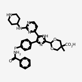 CC1(C(=O)O)COC(c2nc(-c3ccc(F)cc3)c(-c3ccnc(NC4CCNCC4)n3)[nH]2)OC1.NC(=O)c1ccccc1